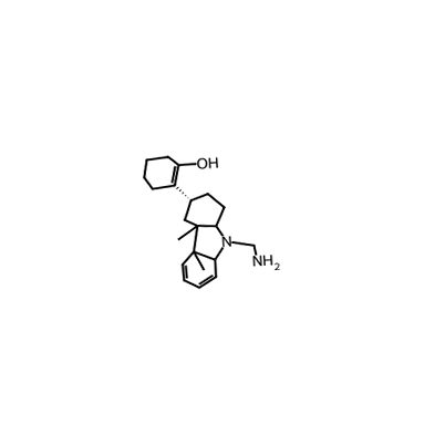 CC12C=CC=CC1N(CN)C1CC[C@@H](C3=C(O)CCCC3)CC12C